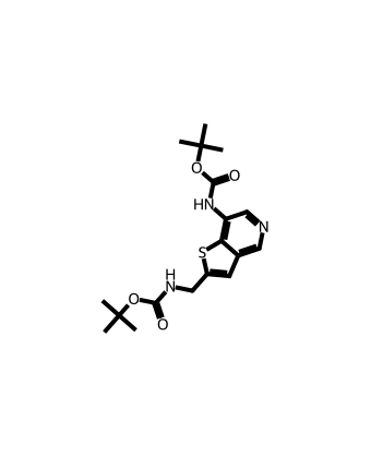 CC(C)(C)OC(=O)NCc1cc2cncc(NC(=O)OC(C)(C)C)c2s1